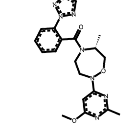 COc1cc(N2CCN(C(=O)c3ccccc3-n3nccn3)[C@H](C)CO2)nc(C)n1